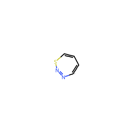 [C]1=CC=CSN=N1